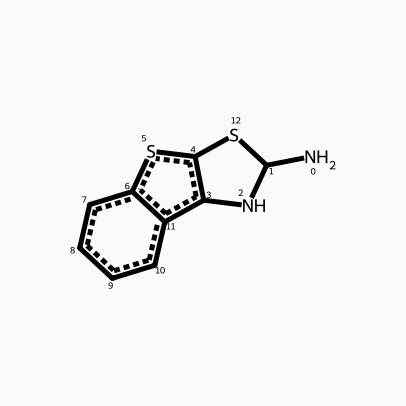 NC1Nc2c(sc3ccccc23)S1